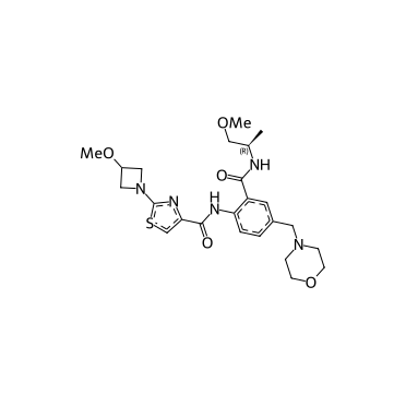 COC[C@@H](C)NC(=O)c1cc(CN2CCOCC2)ccc1NC(=O)c1csc(N2CC(OC)C2)n1